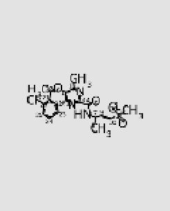 Cc1nc(C(=O)N[C@H](C)/C=C/S(C)(=O)=O)ncc1O[C@@H](C)c1ccccc1Cl